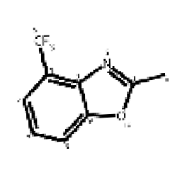 Cc1nc2c(C(F)(F)F)cccc2o1